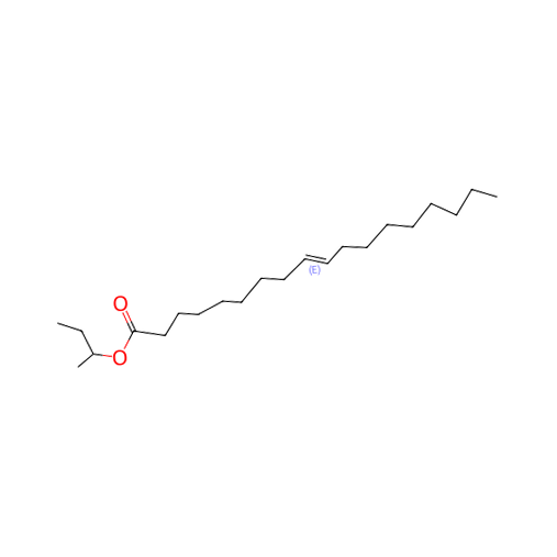 CCCCCCCC/C=C/CCCCCCCC(=O)OC(C)CC